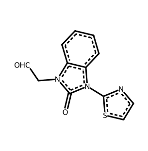 O=CCn1c(=O)n(-c2nccs2)c2ccccc21